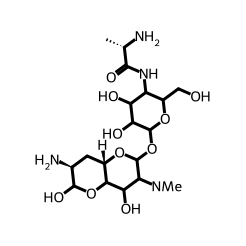 CNC1C(OC2OC(CO)C(NC(=O)[C@H](C)N)C(O)C2O)O[C@H]2C[C@H](N)C(O)OC2C1O